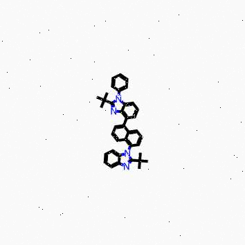 CC(C)(C)c1nc2ccccc2n1-c1cccc2c(-c3cccc4c3nc(C(C)(C)C)n4-c3ccccc3)cccc12